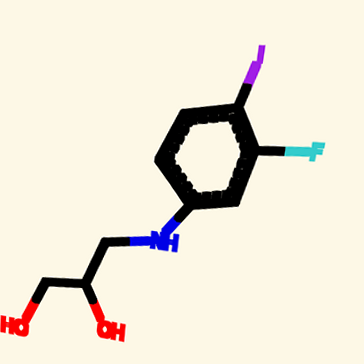 OCC(O)CNc1ccc(I)c(F)c1